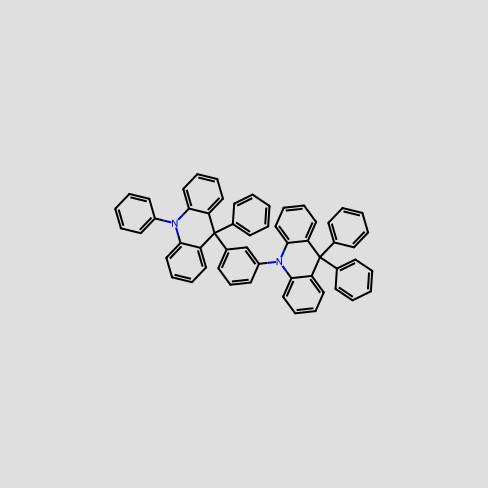 c1ccc(N2c3ccccc3C(c3ccccc3)(c3cccc(N4c5ccccc5C(c5ccccc5)(c5ccccc5)c5ccccc54)c3)c3ccccc32)cc1